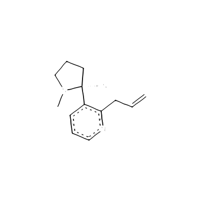 C=CCc1ncccc1[C@]1(C#N)CCCN1C